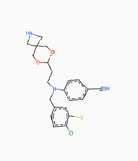 N#Cc1ccc(N(CCC2OCC3(CNC3)CO2)Cc2ccc(Cl)c(F)c2)cc1